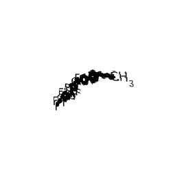 CCCCCc1ccc(C2CCC(C(F)(F)Oc3cc(F)c(C(F)(F)Oc4cc(F)c(OC=C(F)F)c(F)c4)c(F)c3)CC2)cc1